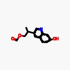 CC(COC=O)c1cnc2cc(O)ccc2c1